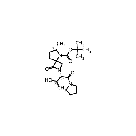 C[C@@H](O)[C@@H](C(=O)N1CCCC1)N1CC2(CC[C@H](C)N2C(=O)OC(C)(C)C)C1=O